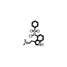 CN(C)CCc1c[nH]c2cccc(N(Cl)S(=O)(=O)c3ccccc3)c12